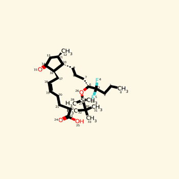 CCCC(F)(F)[C@@H](CCC[C@H]1[C@H](C)CC(=O)[C@@H]1C/C=C\CCCC(=O)O)O[Si](C)(C)C(C)(C)C